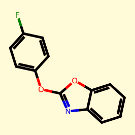 Fc1ccc(Oc2nc3ccccc3o2)cc1